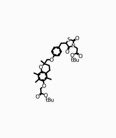 Cc1c(C)c2c(c(C)c1OCC(=O)OC(C)(C)C)CCC(C)(COc1ccc(CC3SC(=O)N(CC(=O)OC(C)(C)C)C3=O)cc1)O2